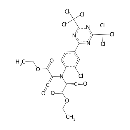 CCOC(=O)C(=C=O)N(C(=C=O)C(=O)OCC)c1ccc(-c2nc(C(Cl)(Cl)Cl)nc(C(Cl)(Cl)Cl)n2)cc1Cl